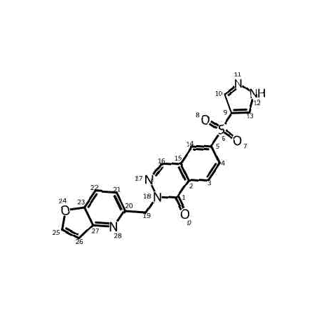 O=c1c2ccc(S(=O)(=O)c3cn[nH]c3)cc2cnn1Cc1ccc2occc2n1